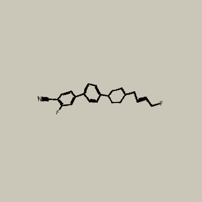 N#Cc1ccc(-c2ccc(C3CCC(C/C=C/CF)CC3)cc2)cc1F